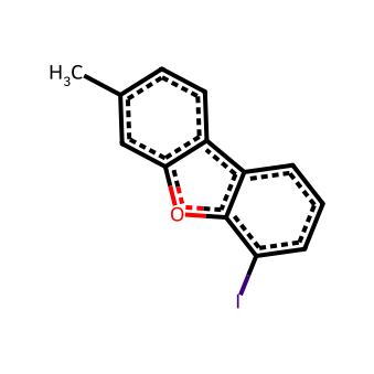 Cc1ccc2c(c1)oc1c(I)cccc12